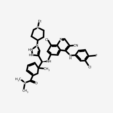 CCN1CCC(N2C=C([C@@H](Nc3cc(Cl)c4ncc(C#N)c(Nc5ccc(F)c(Cl)c5)c4c3)C3(C)C=CC=C(C(=O)N(C)C)C3)NN2)CC1